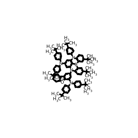 CC(C)(C)c1ccc(N(c2ccc(C(C)(C)C)cc2)c2cc3c4c(c2)N(c2cc(N(c5ccc(C(C)(C)C)cc5)c5ccc(C(C)(C)C)cc5)c5oc6ccccc6c5c2)c2ccc(C(C)(C)C)cc2B4c2cc(C(C)(C)C)ccc2N3c2ccc(C(C)(C)C)cc2)cc1